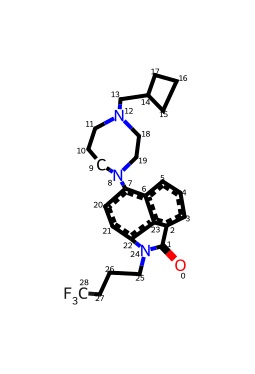 O=C1c2cccc3c(N4CCCN(CC5CCC5)CC4)ccc(c23)N1CCCC(F)(F)F